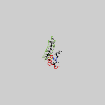 CCN(CC(=O)[O-])S(=O)(=O)C(F)(F)C(F)(F)C(F)(F)C(F)(F)C(F)(F)C(F)(F)F.[K+]